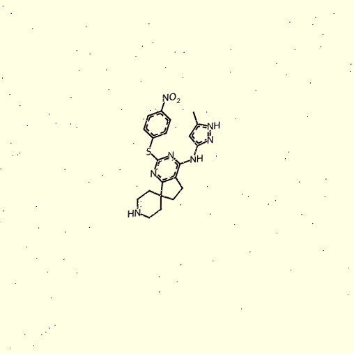 Cc1cc(Nc2nc(Sc3ccc([N+](=O)[O-])cc3)nc3c2CCC32CCNCC2)n[nH]1